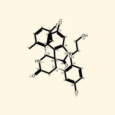 Cc1ccc(F)cc1[C@H]1NC(=O)C[C@@H](c2cc(Cl)ccc2OCCO)[C@]12C(=O)Nc1cc(Cl)ccc12